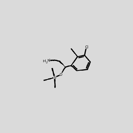 Cc1c(Cl)cccc1[C@H](CN)O[Si](C)(C)C